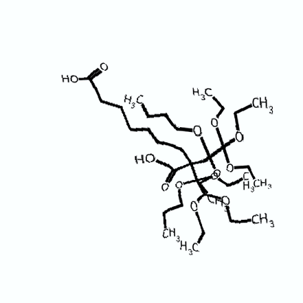 CCCCOC(OCC)(C(OCC)(OCC)OCC)C(CCCCCCC(=O)O)(C(=O)O)C(OCC)(OCCC)C(OCC)OCC